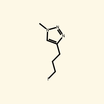 Cn1cc(CCCI)nn1